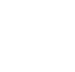 CCC1(OC(C)=O)CCCCCCC1